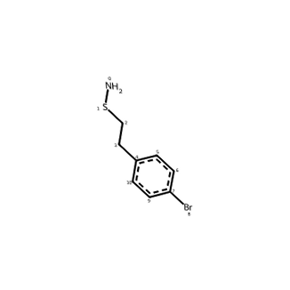 NSCCc1ccc(Br)cc1